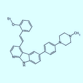 CCOc1ccccc1C=Cc1ccnc2[nH]c3ccc(-c4ccc(N5CCN(C)CC5)cc4)cc3c12